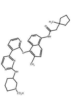 Cc1ccc2c(NC(=O)CC3(C)CCCC3)cccc2c1Oc1ncccc1-c1ccnc(NC2CCCN(C(=O)O)C2)n1